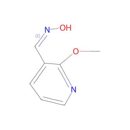 COc1ncccc1/C=N\O